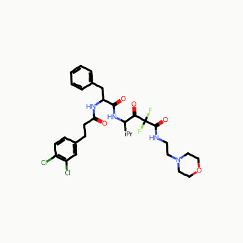 CC(C)C(NC(=O)C(Cc1ccccc1)NC(=O)CCc1ccc(Cl)c(Cl)c1)C(=O)C(F)(F)C(=O)NCCN1CCOCC1